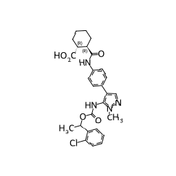 CC(OC(=O)Nc1c(-c2ccc(NC(=O)[C@@H]3CCCC[C@H]3C(=O)O)cc2)cnn1C)c1ccccc1Cl